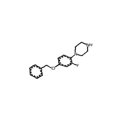 Fc1cc(OCc2ccccc2)ccc1N1CCNCC1